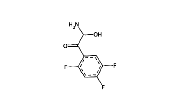 NC(O)C(=O)c1cc(F)c(F)cc1F